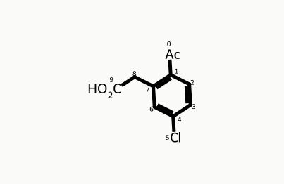 CC(=O)c1ccc(Cl)cc1CC(=O)O